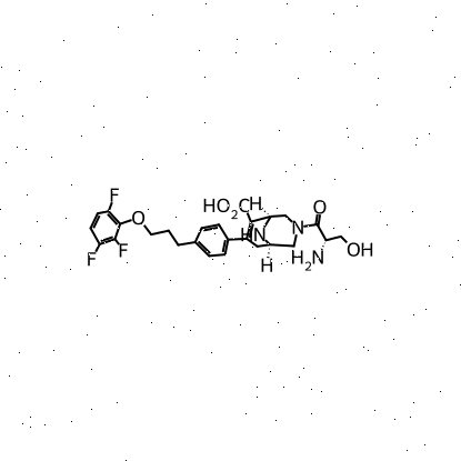 N[C@@H](CO)C(=O)N1C[C@H]2CC(c3ccc(CCCOc4c(F)ccc(F)c4F)cc3)=C(C(=O)O)[C@@H](C1)N2